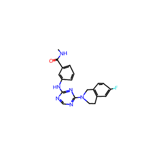 CNC(=O)c1cccc(Nc2ncnc(N3CCc4cc(F)ccc4C3)n2)c1